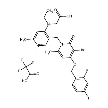 CCN(CC(=O)O)c1cc(C)ncc1Cn1c(C)cc(OCc2ccc(F)cc2F)c(Br)c1=O.O=C(O)C(F)(F)F